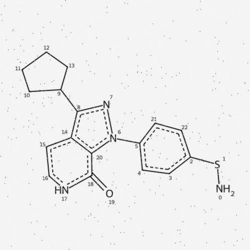 NSc1ccc(-n2nc(C3CCCC3)c3cc[nH]c(=O)c32)cc1